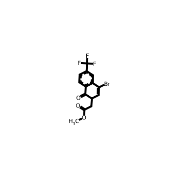 COC(=O)CC1C=C(Br)c2cc(C(F)(F)F)ccc2C1=O